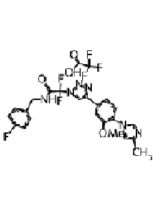 COc1cc(-c2cn(C(F)(F)C(=O)NCc3ccc(F)cc3)nn2)ccc1-n1cnc(C)c1.O=C(O)C(F)(F)F